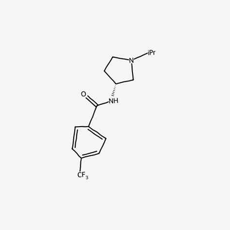 CC(C)N1CC[C@@H](NC(=O)c2ccc(C(F)(F)F)cc2)C1